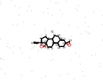 C#C[C@]1(O)CCC2C3C(CC[C@@]21C)C1CCC2(C=C1C[C@H]3C)CO2